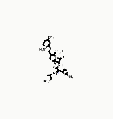 CC(CC(=O)O)O/N=C(\C(=O)NC1C(=O)N2C(C(=O)O)=C(CSC3=NC(N)=CCN3N)CS[C@@H]12)c1csc(N)n1